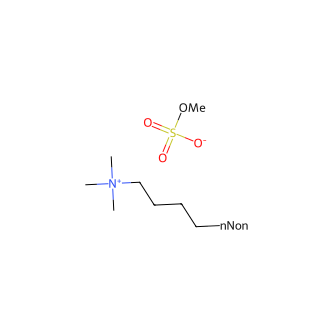 CCCCCCCCCCCCC[N+](C)(C)C.COS(=O)(=O)[O-]